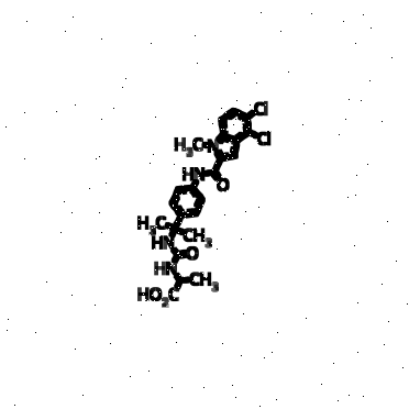 CC(NC(=O)NC(C)(C)c1ccc(NC(=O)c2cc3c(Cl)c(Cl)ccc3n2C)cc1)C(=O)O